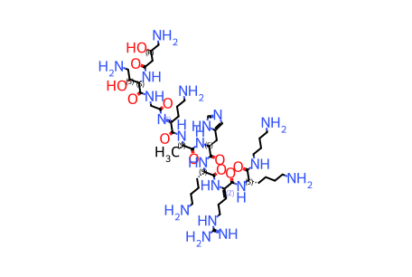 C[C@H](NC(=O)/C(CCCN)=N/C(=O)CNC(=O)[C@@H](NC(=O)C[C@@H](O)CN)[C@@H](O)CN)C(=O)N[C@@H](Cc1cnc[nH]1)C(=O)N[C@@H](CCCCN)C(=O)N/C(=C\CCNC(=N)N)C(=O)N[C@@H](CCCCN)C(=O)NCCCCN